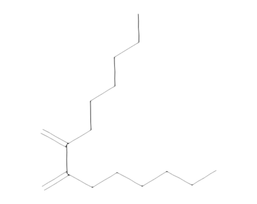 C=C(CCCCCC)C(=C)CCCCCC